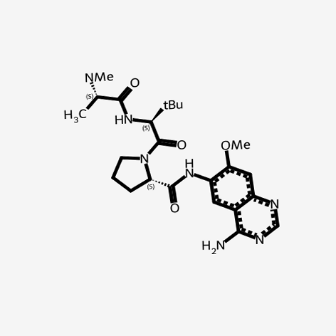 CN[C@@H](C)C(=O)N[C@H](C(=O)N1CCC[C@H]1C(=O)Nc1cc2c(N)ncnc2cc1OC)C(C)(C)C